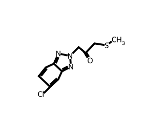 CSCC(=O)Cn1nc2ccc(Cl)cc2n1